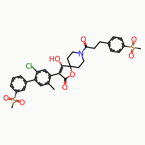 Cc1cc(-c2cccc(S(C)(=O)=O)c2)c(Cl)cc1C1=C(O)C2(CCN(C(=O)CCc3ccc(S(C)(=O)=O)cc3)CC2)OC1=O